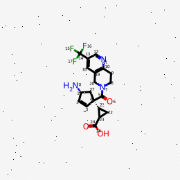 N[C@@H]1C=C[C@@](C(=O)N2CCc3ncc(C(F)(F)F)cc3C2)(C2CC2C(=O)O)C1